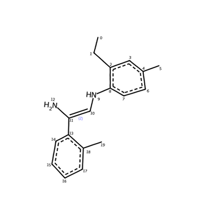 CCc1cc(C)ccc1N/C=C(\N)c1ccccc1C